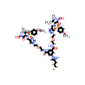 COc1ccc(S(=O)(=O)N(Cc2cn(CCOCCNC(=O)c3cc(C(=O)NCCOCCn4cc(CN([C@@H](C(=O)NO)C(C)C)S(=O)(=O)c5ccc(OC)cc5)nn4)cc(-n4cc(CCCF)[nH]4)c3)nn2)[C@H](C(=O)NO)C(C)C)cc1